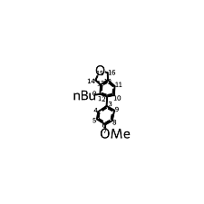 CCCCc1c(-c2ccc(OC)cc2)ccc2c1COC2